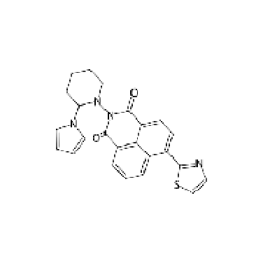 O=C1c2cccc3c(-c4nccs4)ccc(c23)C(=O)N1N1CCCCC1n1cccc1